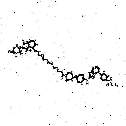 CS(=O)(=O)c1ccc(-c2cccc3nc(Nc4ccc(N5CCN(C(=O)CCOCCOCCOCCNc6cccc7c6C(=O)N(C6CCC(=O)NC6=O)C7=O)CC5)cc4)nn23)cc1